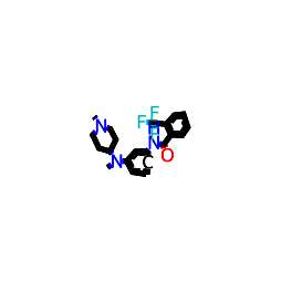 CN1CCC(N(C)c2cccc(NC(=O)c3ccccc3C(F)(F)F)c2)CC1